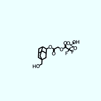 O=C(COC(=O)C(F)(F)S(=O)(=O)O)OC1C2CC3CC1CC(CO)(C3)C2